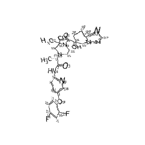 C[C@@H](C(=O)Nc1cnc(Oc2ccc(F)cc2F)cn1)N1CCN(C(=O)[C@@]2(O)CCc3ncnn3C2)C(C)(C)C1